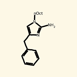 CCCCCCCCn1cc(Cc2ccccc2)nc1N